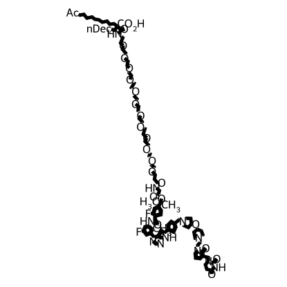 CCCCCCCCCCCC(CCCCCCCCCCC(C)=O)(C(=O)O)C(=O)NCCOCCOCCOCCOCCOCCOCCOCCOCCOCCOCCOCCOCCC(=O)NCC(=O)OC(C)(C)c1ccc(C(=O)Nc2cc(F)cc(-c3ncnc4[nH]c(-c5ccc(CN6CCC(OC7CCN(CCn8cccc(CN9CCC(=O)NC9=O)c8=O)CC7)CC6)cc5)cc34)c2C)c(F)c1